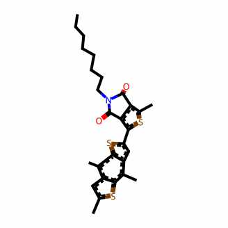 CCCCCCCCN1C(=O)c2c(C)sc(-c3cc4c(C)c5sc(C)cc5c(C)c4s3)c2C1=O